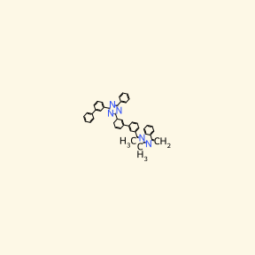 C=C(/N=C(C)\N=C(/C)c1cccc(C2=CC(c3nc(-c4ccccc4)nc(-c4cccc(-c5ccccc5)c4)n3)CC=C2)c1)c1ccccc1